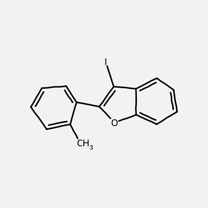 Cc1ccccc1-c1oc2ccccc2c1I